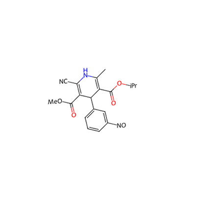 COC(=O)C1=C(C#N)NC(C)=C(C(=O)OC(C)C)C1c1cccc(N=O)c1